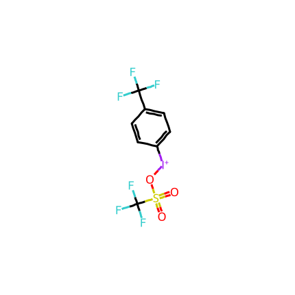 O=S(=O)(O[I+]c1ccc(C(F)(F)F)cc1)C(F)(F)F